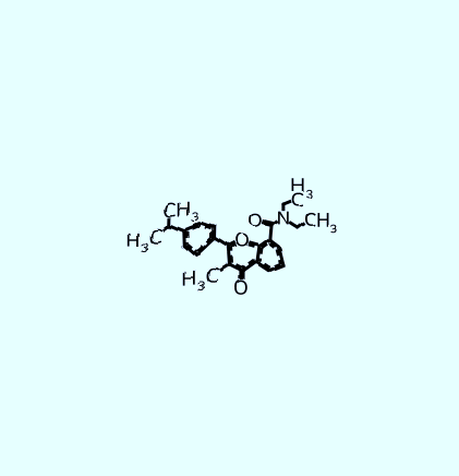 CCN(CC)C(=O)c1cccc2c(=O)c(C)c(-c3ccc(C(C)C)cc3)oc12